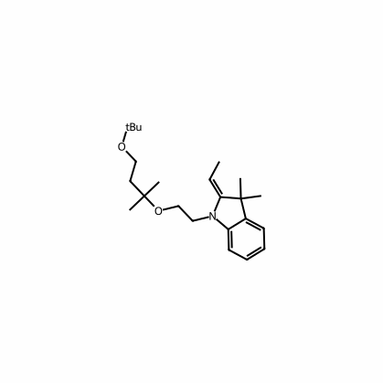 C/C=C1/N(CCOC(C)(C)CCOC(C)(C)C)c2ccccc2C1(C)C